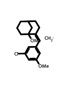 COc1cc(Cl)cc(C=C2CCC3CCCC2(OC)C3)c1.[CH2]